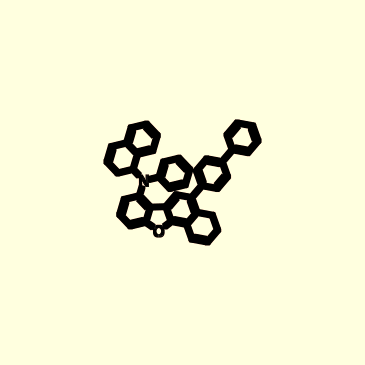 C1=Cc2c(c(-c3ccc(-c4ccccc4)cc3)cc3c2oc2cccc(N(c4ccccc4)C4CC=Cc5ccccc54)c23)CC1